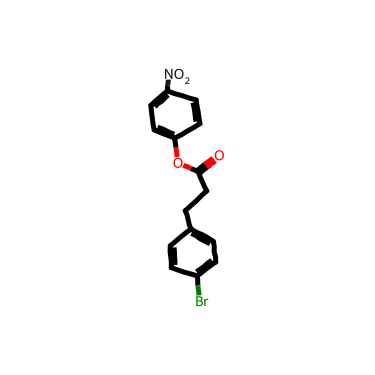 O=C(CCc1ccc(Br)cc1)Oc1ccc([N+](=O)[O-])cc1